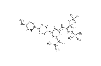 COc1ccc(N2CCN(c3cc(C(=O)N(C)C)cc(Nc4cc(C(C)(C)C)nn4CC(F)(F)F)n3)CC2)cc1